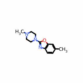 Cc1ccc2nc(N3CCN(C)CC3)oc2c1